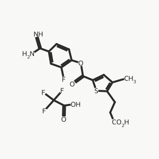 Cc1cc(C(=O)Oc2ccc(C(=N)N)cc2F)sc1CCC(=O)O.O=C(O)C(F)(F)F